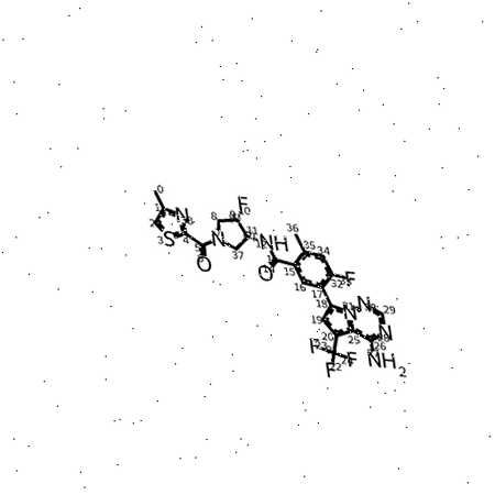 Cc1csc(C(=O)N2C[C@H](F)[C@H](NC(=O)c3cc(-c4cc(C(F)(F)F)c5c(N)ncnn45)c(F)cc3C)C2)n1